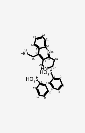 O=S(=O)(O)c1ccccc1.O=S(=O)(O)c1ccccc1.OCc1c2c(nc3ccccc13)CCNC2